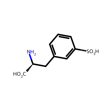 N[C@@H](Cc1cccc(S(=O)(=O)O)c1)C(=O)O